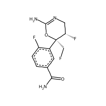 NC(=O)c1ccc(F)c([C@@]2(CF)OC(N)=NC[C@@H]2F)c1